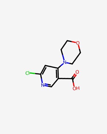 O=C(O)c1cnc(Cl)cc1N1CCOCC1